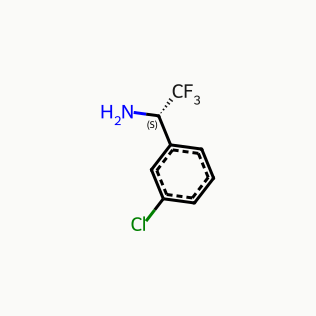 N[C@@H](c1cccc(Cl)c1)C(F)(F)F